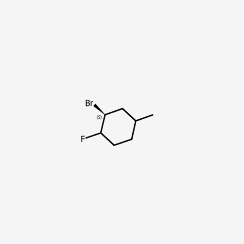 CC1CCC(F)[C@@H](Br)C1